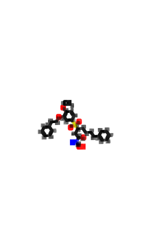 COc1ccc(S(=O)(=O)C(CCCCc2ccccc2)CC(=O)NO)cc1OCCc1ccccc1